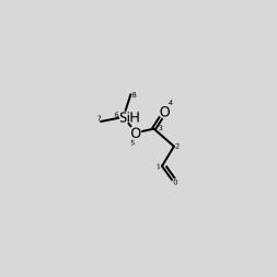 C=CCC(=O)O[SiH](C)C